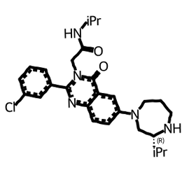 CC(C)NC(=O)Cn1c(-c2cccc(Cl)c2)nc2ccc(N3CCCN[C@H](C(C)C)C3)cc2c1=O